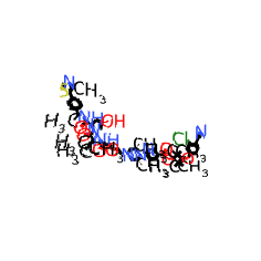 Cc1ncsc1-c1ccc([C@H](C)NC(=O)C2C[C@@H](O)CN2C(=O)[C@@H](NC(=O)COCCN2C[C@@H](C)N(c3ccc(C(=O)OC4C(C)(C)C(Oc5ccc(C#N)c(Cl)c5)C4(C)C)cn3)[C@@H](C)C2)C(C)(C)C)cc1